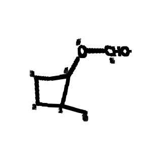 CC1CCC1O[C]=O